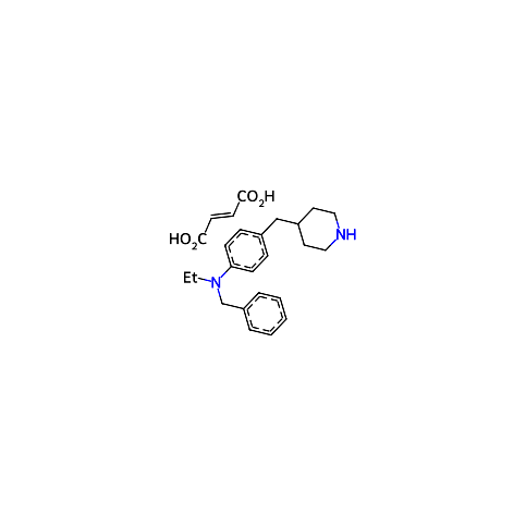 CCN(Cc1ccccc1)c1ccc(CC2CCNCC2)cc1.O=C(O)C=CC(=O)O